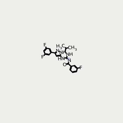 CC(C)CN/C(=N/C(=O)c1cccc(F)c1)Nc1cc(-c2cc(F)cc(F)c2)n[nH]1